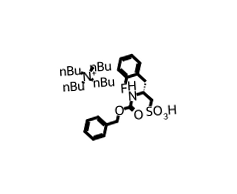 CCCC[N+](CCCC)(CCCC)CCCC.O=C(N[C@H](Cc1ccccc1F)CS(=O)(=O)O)OCc1ccccc1